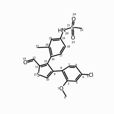 COc1cc(Cl)ccc1-c1csc(C=O)c1-c1ccc(NS(C)(=O)=O)cc1C